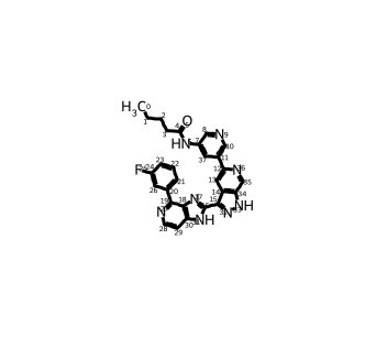 CCCCC(=O)Nc1cncc(-c2cc3c(-c4nc5c(-c6cccc(F)c6)nccc5[nH]4)n[nH]c3cn2)c1